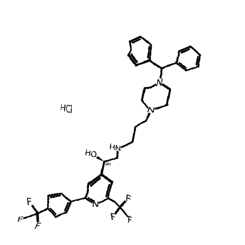 Cl.O[C@@H](CNCCCN1CCN(C(c2ccccc2)c2ccccc2)CC1)c1cc(-c2ccc(C(F)(F)F)cc2)nc(C(F)(F)F)c1